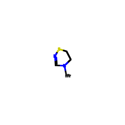 CCCN1C=NSCC1